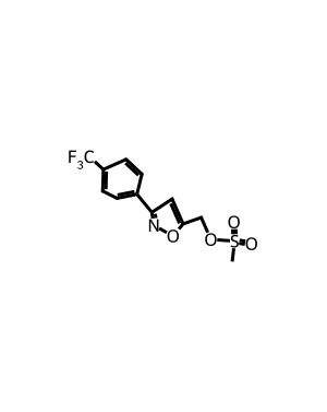 CS(=O)(=O)OCc1cc(-c2ccc(C(F)(F)F)cc2)no1